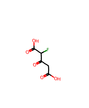 O=C(O)CC(=O)C(F)C(=O)O